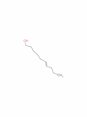 CCCC=CCCCCCO